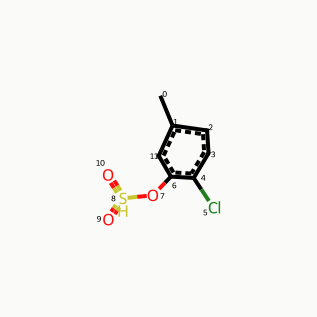 Cc1ccc(Cl)c(O[SH](=O)=O)c1